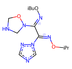 CC(C)CO/N=C(/C(=N/OC(C)C)n1cncn1)N1CNCO1